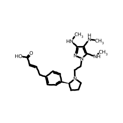 CNc1nn(CCN2CCC[C@H]2c2ccc(C/C=C/C(=O)O)cc2)c(NC)c1NC